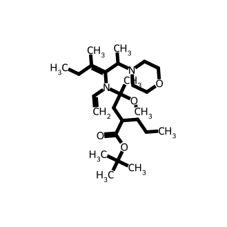 C=CN(/C(=C(/C)CC)C(C)N1CCOCC1)C(C)(CC(CCC)C(=O)OC(C)(C)C)OC